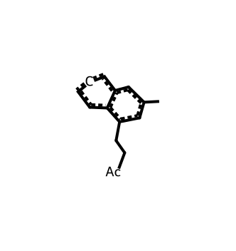 CC(=O)CCc1cc(C)cc2ccccc12